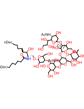 CCCCCCCCCCCCC/C=C/[C@@H](O)[C@H](CO[C@@H]1OC(CO)[C@@H](O[C@@H]2OC(CO)[C@H](O)[C@H](O[C@@H]3OC(CO)[C@@H](O[C@H]4OC(C)[C@@H](O)C(O)[C@@H]4O)[C@H](O[C@@H]4OC(CO)[C@H](O)[C@H](O[C@]5(C(=O)O)CC(O)[C@@H](NC(C)=O)C([C@H](O)[C@H](O)CO)O5)C4O)C3NC(C)=O)C2O)[C@H](O)C1O)NC(=O)CCCCCCCCCCCCCCC